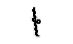 [CH2]CCCCCC(=O)OCCCCC